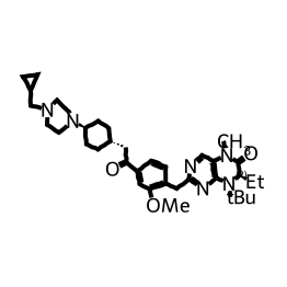 CC[C@@H]1C(=O)N(C)c2cnc(Cc3ccc(C(=O)C[C@H]4CC[C@H](N5CCN(CC6CC6)CC5)CC4)cc3OC)nc2N1C(C)(C)C